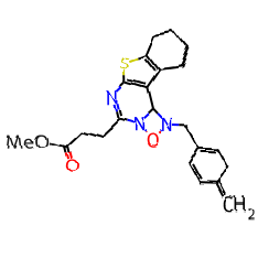 C=C1C=CC(CN2ON3C(CCC(=O)OC)=Nc4sc5c(c4C23)CCCC5)=CC1